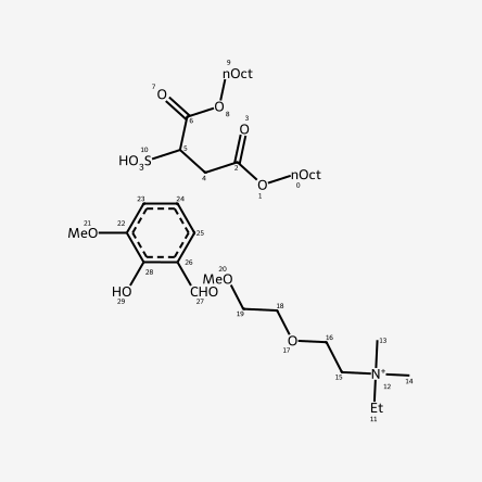 CCCCCCCCOC(=O)CC(C(=O)OCCCCCCCC)S(=O)(=O)O.CC[N+](C)(C)CCOCCOC.COc1cccc(C=O)c1O